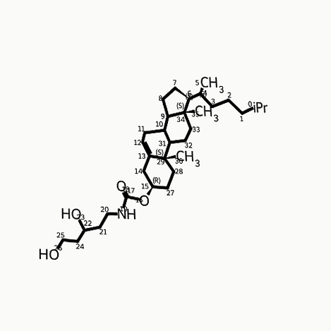 CC(C)CCC[C@H](C)[C@@H]1CCC2C3CC=C4C[C@H](OC(=O)NCCC(O)CCO)CC[C@@]4(C)C3CC[C@]21C